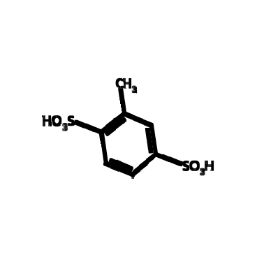 Cc1cc(S(=O)(=O)O)[c]cc1S(=O)(=O)O